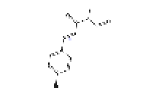 CC(C=O)C(=O)/C=C/c1ccc(Br)cc1